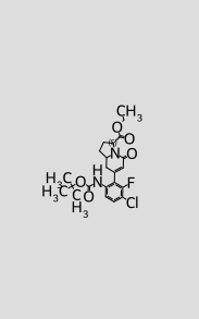 CCOC(=O)[C@@H]1CCC2CC(c3c(NC(=O)OC(C)(C)C)ccc(Cl)c3F)=CC(=O)N21